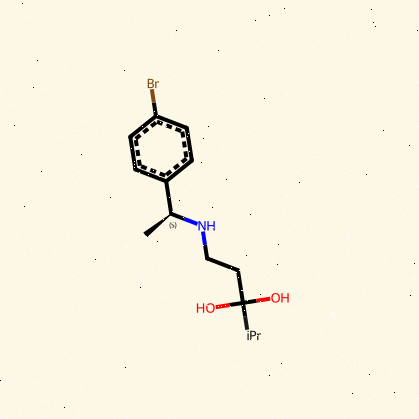 CC(C)C(O)(O)CCN[C@@H](C)c1ccc(Br)cc1